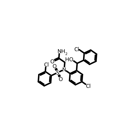 NC(=O)CN(c1ccc(Cl)cc1C(O)c1ccccc1Cl)S(=O)(=O)c1ccccc1Cl